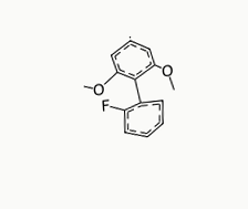 COc1c[c]cc(OC)c1-c1ccccc1F